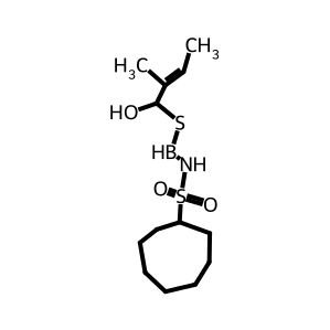 CC=C(C)C(O)SBNS(=O)(=O)C1CCCCCCC1